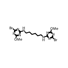 COc1nc(Br)nc(NCCCCCCNc2nc(Br)nc(OC)n2)n1